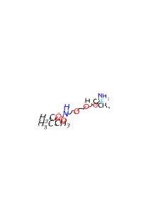 CC(C)(C)OC(=O)NCCOCCOCCOC(C)(C)C(F)CN